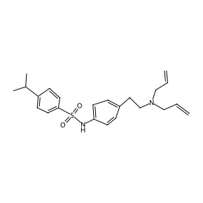 C=CCN(CC=C)CCc1ccc(NS(=O)(=O)c2ccc(C(C)C)cc2)cc1